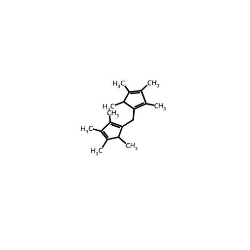 CC1=C(C)C(C)C(CC2=C(C)C(C)=C(C)C2C)=C1C